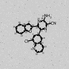 N#Cc1nc(-c2cc(Cl)c3ncccc3c2)c(-c2cc3ccccc3o2)nc1N